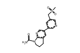 CS(=O)(=O)Cc1cncc(-c2cnc3c(c2)CCCN3C(N)=O)c1